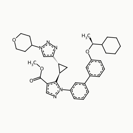 COC(=O)c1cnn(-c2cccc(-c3cccc(O[C@@H](C)C4CCCCC4)c3)c2)c1[C@@H]1C[C@H]1c1cn(C2CCOCC2)nn1